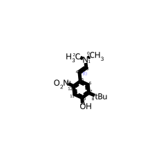 CN(C)/C=C/c1cc(C(C)(C)C)c(O)cc1[N+](=O)[O-]